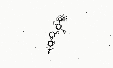 CS(=O)(=O)NC(=O)c1cc(C2CC2)c(O[C@@H]2CCCN(c3ccc(C(F)(F)F)cn3)C2)cc1F